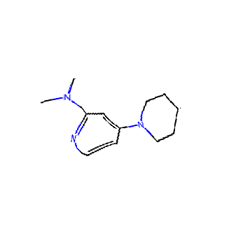 CN(C)c1cc(N2CC[CH]CC2)ccn1